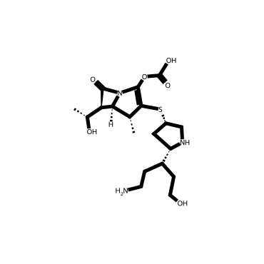 C[C@@H](O)[C@H]1C(=O)N2C(OC(=O)O)=C(S[C@@H]3CN[C@H](C(CCN)CCO)C3)[C@H](C)[C@@H]12